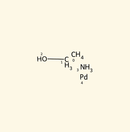 C.CO.N.[Pd]